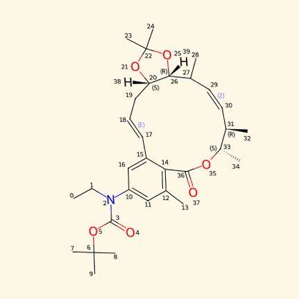 CCN(C(=O)OC(C)(C)C)c1cc(C)c2c(c1)/C=C/C[C@@H]1OC(C)(C)O[C@@H]1C(C)/C=C\[C@@H](C)[C@H](C)OC2=O